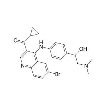 CN(C)CC(O)c1ccc(Nc2c(C(=O)C3CC3)cnc3ccc(Br)cc23)cc1